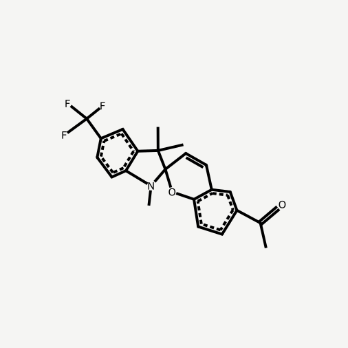 CC(=O)c1ccc2c(c1)C=CC1(O2)N(C)c2ccc(C(F)(F)F)cc2C1(C)C